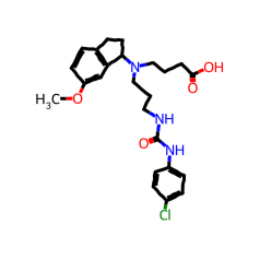 COc1ccc2c(c1)C(N(CCCNC(=O)Nc1ccc(Cl)cc1)CCCC(=O)O)CC2